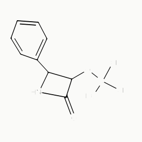 C[Si](C)(C)OC1C(=O)NC1c1ccccc1